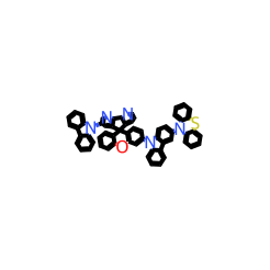 c1ccc2c(c1)Oc1cc(-n3c4ccccc4c4cc(N5c6ccccc6Sc6ccccc65)ccc43)ccc1C21c2cccnc2-c2ncc(-n3c4ccccc4c4ccccc43)cc21